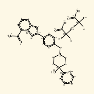 NC(=O)c1cccc2cn(-c3ccc(CN4CCC(O)(c5ccccn5)CC4)cc3)nc12.O=C(O)C(F)(F)F.O=C(O)C(F)(F)F